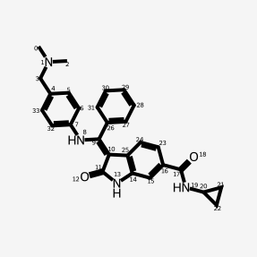 CN(C)Cc1ccc(N/C(=C2\C(=O)Nc3cc(C(=O)NC4CC4)ccc32)c2ccccc2)cc1